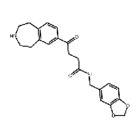 O=C(CCC(=O)c1ccc2c(c1)CCNCC2)NCc1ccc2c(c1)OCO2